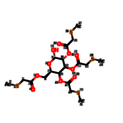 CC(=O)SCC(=O)OC[C@H]1O[C@H](O)[C@H](OC(=O)CSC(C)=O)[C@@H](OC(=O)CSC(C)=O)[C@H]1OC(=O)CSC(C)=O